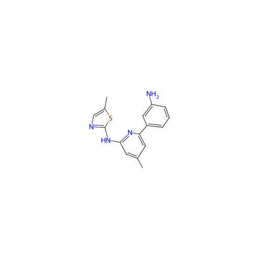 Cc1cc(Nc2ncc(C)s2)nc(-c2cccc(N)c2)c1